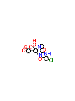 O=C(O)c1ccc(CN2C(=O)c3ccc(Cl)cc3NC(=O)C2Cc2ccccn2)cc1-c1ccc2c(c1)OCO2